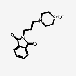 O=C1c2ccccc2C(=O)N1CCCN1CC[S+]([O-])CC1